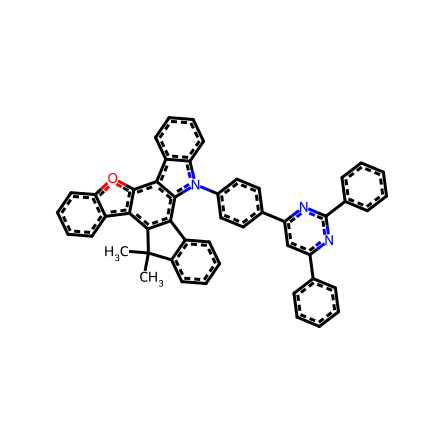 CC1(C)c2ccccc2-c2c1c1c3ccccc3oc1c1c3ccccc3n(-c3ccc(-c4cc(-c5ccccc5)nc(-c5ccccc5)n4)cc3)c21